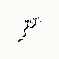 C=C=C/C=C(N)\C=C/N